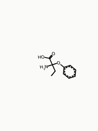 CCC(N)(Oc1ccccc1)C(=O)O